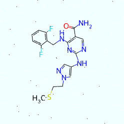 CSCCn1cc(Nc2ncc(C(N)=O)c(NCc3c(F)cccc3F)n2)cn1